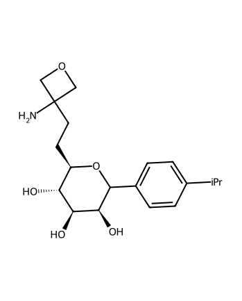 CC(C)c1ccc(C2O[C@H](CCC3(N)COC3)[C@@H](O)[C@H](O)[C@@H]2O)cc1